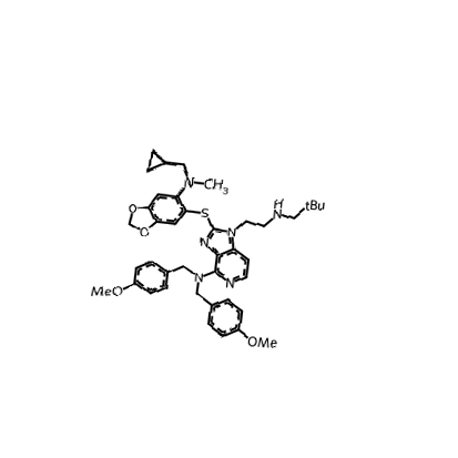 COc1ccc(CN(Cc2ccc(OC)cc2)c2nccc3c2nc(Sc2cc4c(cc2N(C)CC2CC2)OCO4)n3CCNCC(C)(C)C)cc1